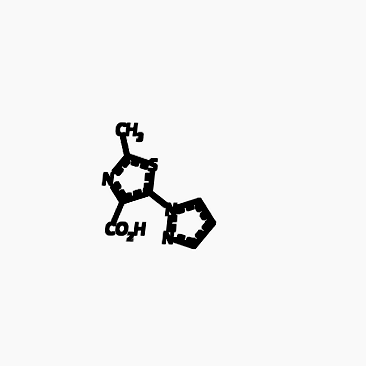 Cc1nc(C(=O)O)c(-n2cccn2)s1